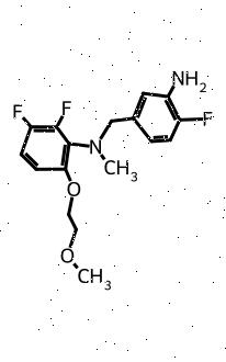 COCCOc1ccc(F)c(F)c1N(C)Cc1ccc(F)c(N)c1